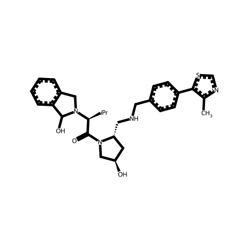 Cc1ncsc1-c1ccc(CNC[C@@H]2C[C@@H](O)CN2C(=O)[C@H](C(C)C)N2Cc3ccccc3C2O)cc1